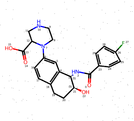 O=C(N[C@H]1c2cc(N3CCNCC3C(=O)O)ccc2CC[C@@H]1O)c1ccc(F)cc1